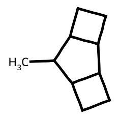 CC1C2CCC2C2CCC12